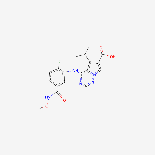 CONC(=O)c1ccc(F)c(Nc2ncnn3cc(C(=O)O)c(C(C)C)c23)c1